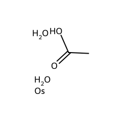 CC(=O)O.O.O.[Os]